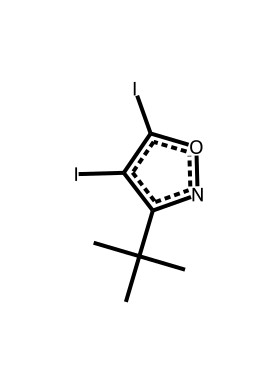 CC(C)(C)c1noc(I)c1I